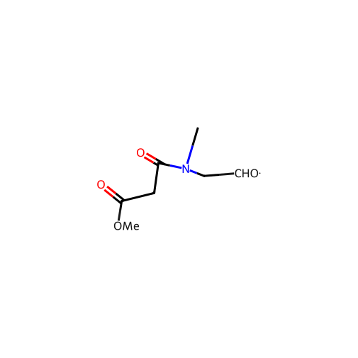 COC(=O)CC(=O)N(C)C[C]=O